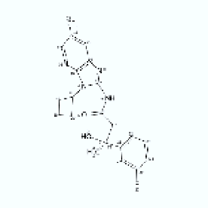 C[C@](O)(CC(=O)Nc1nc2cc(C(F)(F)F)cnc2n1C1CCC1)c1cccc(F)c1